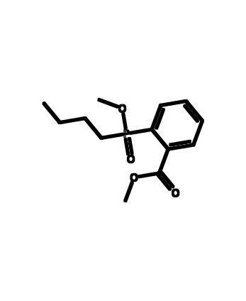 CCCCP(=O)(OC)c1ccccc1C(=O)OC